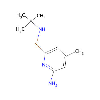 Cc1cc(N)nc(SNC(C)(C)C)c1